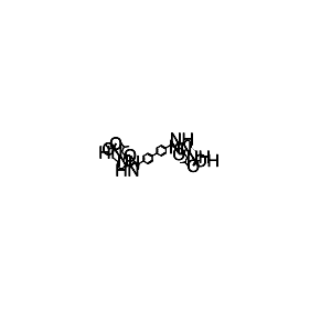 COC(=O)N[C@H](C(=O)N1C(C)CCC1c1nc(-c2ccc(-c3ccc(-c4c[nH]c([C@@H]5CC[C@H](C)N5C(=O)[C@H](NC(=O)O)C(C)C)n4)cc3)cc2)c[nH]1)C(C)C